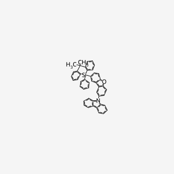 CC1(C)c2ccccc2[Si](c2ccccc2)(c2ccc3oc4ccc(-n5c6ccccc6c6ccccc65)cc4c3c2)c2ccccc21